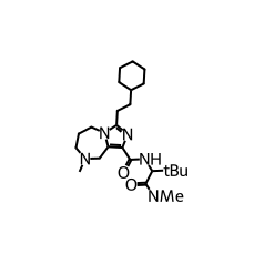 CNC(=O)C(NC(=O)c1nc(CCC2CCCCC2)n2c1CN(C)CCC2)C(C)(C)C